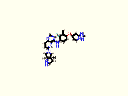 Cc1c(Oc2ccn3ncnc3c2)ccc(Nc2ncnc3ccc(N4C[C@@H]5CCN[C@@H]5C4)nc23)c1F